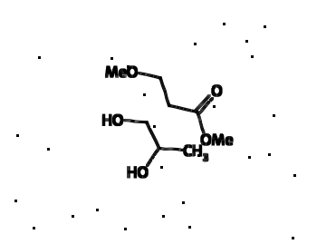 CC(O)CO.COCCC(=O)OC